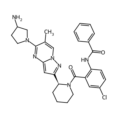 Cc1cn2nc([C@@H]3CCCCN3C(=O)c3cc(Cl)ccc3NC(=O)c3ccccc3)cc2nc1N1CCC(N)C1